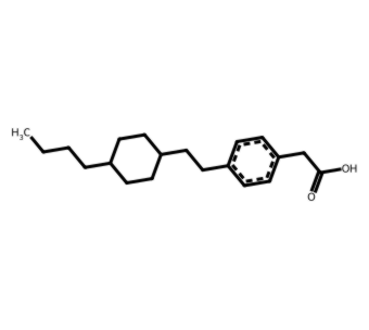 CCCCC1CCC(CCc2ccc(CC(=O)O)cc2)CC1